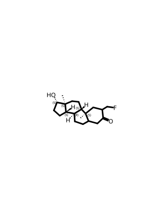 C[C@]12CC[C@H]3[C@@H](CCC4CC(=O)C(CF)C[C@@]43C)[C@@H]1CC[C@@H]2O